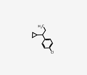 CC[C](c1ccc(Cl)cc1)C1CC1